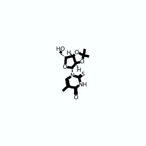 Cc1cn([C@@H]2O[C@H](CO)[C@H]3OC(C)(C)O[C@H]32)c(=S)[nH]c1=O